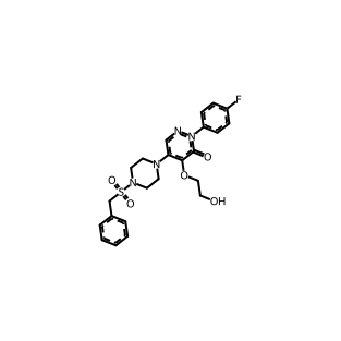 O=c1c(OCCO)c(N2CCN(S(=O)(=O)Cc3ccccc3)CC2)cnn1-c1ccc(F)cc1